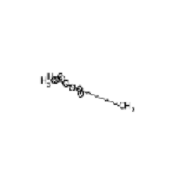 CCCCCCCCCCCCCCCCCC(=O)OCCOCCOCC(COC)OC